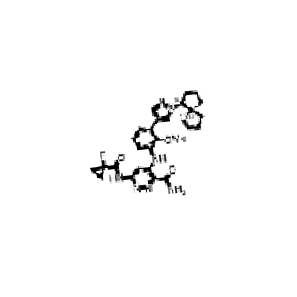 COc1c(Nc2cc(NC(=O)C3(F)CC3)nnc2C(N)=O)cccc1-c1cnn([C@H]2CCC[C@]23CCCO3)c1